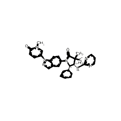 Cn1cc(-n2ncc3cc(N4C(=O)C(C)(C)[C@H](Nc5ncccn5)[C@H]4c4ccccc4)ccc32)ccc1=O